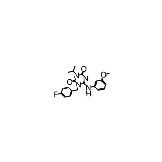 COc1cccc(Nc2nc(=O)n(C(C)C)c(=O)n2Cc2ccc(F)cc2)c1